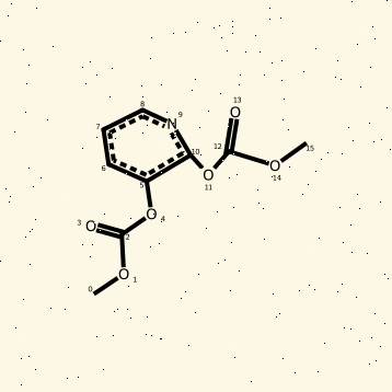 COC(=O)Oc1cccnc1OC(=O)OC